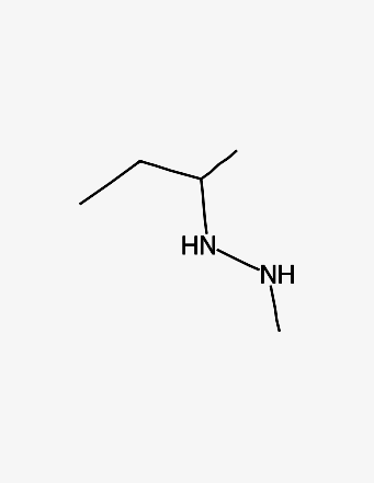 CCC(C)NNC